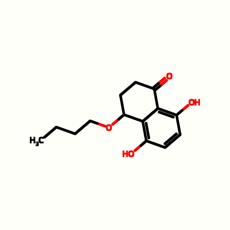 CCCCOC1CCC(=O)c2c(O)ccc(O)c21